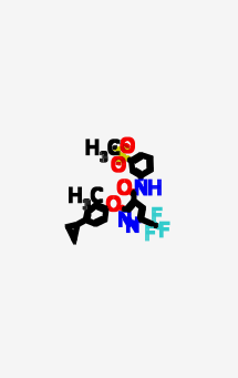 Cc1cc(C2CC2)ccc1Oc1nnc(C(F)(F)F)cc1C(=O)Nc1cccc(S(C)(=O)=O)c1